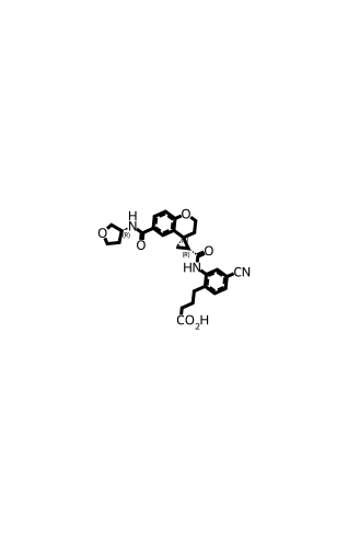 N#Cc1ccc(CCCC(=O)O)c(NC(=O)[C@@H]2C[C@]23CCOc2ccc(C(=O)N[C@@H]4CCOC4)cc23)c1